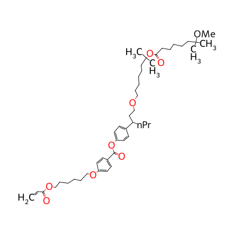 C=CC(=O)OCCCCCCOc1ccc(C(=O)Oc2ccc(C(CCC)CCOCCCCCCC(C)(C)OC(=O)CCCCCC(C)(C)OC)cc2)cc1